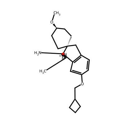 CO[C@H]1CC[C@]2(CC1)Cc1ccc(OCC3CCC3)cc1[C@]21N=C(C)C(N)=N1